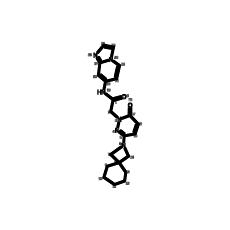 O=C(Cn1nc(N2CC3(CCCCC3)C2)ccc1=O)Nc1ccn2ccnc2c1